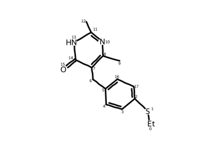 CCSc1ccc(Cc2c(C)nc(C)[nH]c2=O)cc1